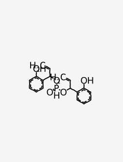 C=CC(O[PH](=O)OC(C=C)c1ccccc1O)c1ccccc1O